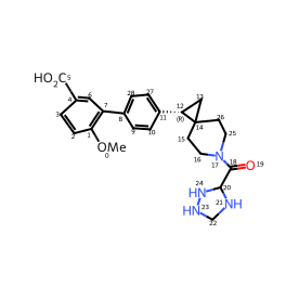 COc1ccc(C(=O)O)cc1-c1ccc([C@@H]2CC23CCN(C(=O)C2NCNN2)CC3)cc1